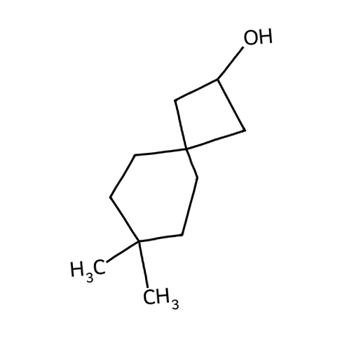 CC1(C)CCC2(CC1)CC(O)C2